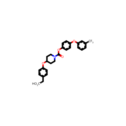 O=C(O)Cc1ccc(OC2CCN(C(=O)Oc3ccc(Oc4cccc(C(F)(F)F)c4)cc3)CC2)cc1